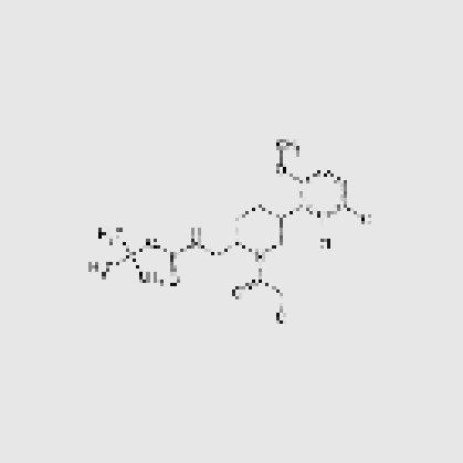 COc1ccc(Cl)c(Cl)c1C1CCC(CNC(=O)OC(C)(C)C)N(C(=O)CCl)C1